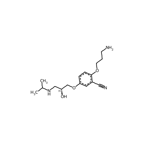 CC(C)NC[C@H](O)COc1ccc(OCCCN)c(C#N)c1